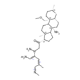 C\N=C/C(C)=C\C(=C\N)N(N)CC(=O)[C@H]1CCC2[C@]3(N)CCC4C[C@@H](C)CC[C@]4(COC)C3CC[C@@]21C